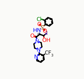 O=C([C@H](NS(=O)(=O)c1ccccc1Cl)C(O)I)N1CCN(c2ncccc2C(F)(F)F)CC1